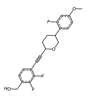 COc1ccc(C2CCC(C#Cc3ccc(CO)c(F)c3F)OC2)c(F)c1